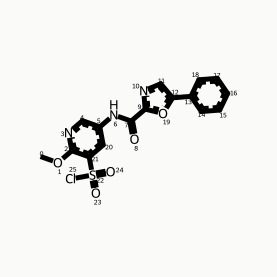 COc1ncc(NC(=O)c2ncc(-c3ccccc3)o2)cc1S(=O)(=O)Cl